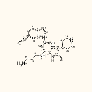 [C-]#[N+]c1ccc2ncn(-c3nc(NCCCN)c4c(n3)N(C3CCOCC3)C(=C)N4)c2c1